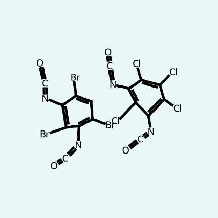 O=C=Nc1c(Br)cc(Br)c(N=C=O)c1Br.O=C=Nc1c(Cl)c(Cl)c(Cl)c(N=C=O)c1Cl